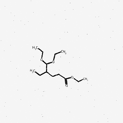 CCOC(=O)CCC(CC)C(OCC)OCC